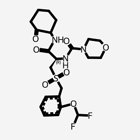 O=C1CCCCC1NC(=O)[C@H](CS(=O)(=O)Cc1ccccc1OC(F)F)NC(=O)N1CCOCC1